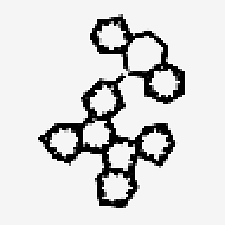 c1ccc2c(c1)CCc1ccccc1N2c1ccc2c3ccccc3c3c4ccccc4c4ccccc4c3c2c1